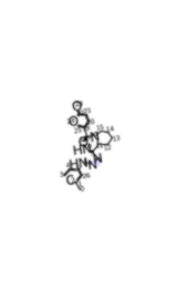 Cc1cccc(N/N=N\C(=N)C2CCCCN2C(=O)c2ccc(=O)oc2)c1